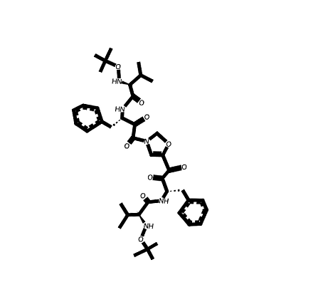 CC(C)[C@H](NOC(C)(C)C)C(=O)N[C@@H](Cc1ccccc1)C(=O)C(=O)C1=CN(C(=O)C(=O)[C@H](Cc2ccccc2)NC(=O)[C@@H](NOC(C)(C)C)C(C)C)CO1